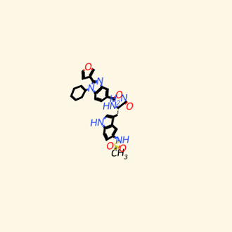 CS(=O)(=O)Nc1ccc2[nH]cc(C[C@H](NC(=O)c3ccc4c(c3)nc(-c3ccoc3)n4C3CCCCC3)C(N)=O)c2c1